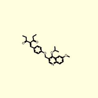 CCC(=O)C(=Cc1ccc(OCc2cnc3ccc(OC)cc3c2OC(C)C)cc1)C(=O)CC